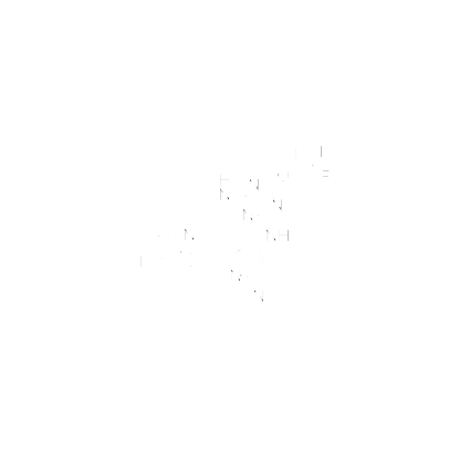 CS(=O)(=O)N1CCC(Nc2nc(Nc3ccnc(N4CCCC4)c3)nc(OCC(F)(F)F)n2)CC1